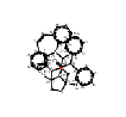 O=C(O)[C@@H]1[C@H]2CC[C@@H](CN1C(O)N1c3ccccc3C=Cc3ccccc31)N2C(=O)C(c1ccccc1)c1ccccc1